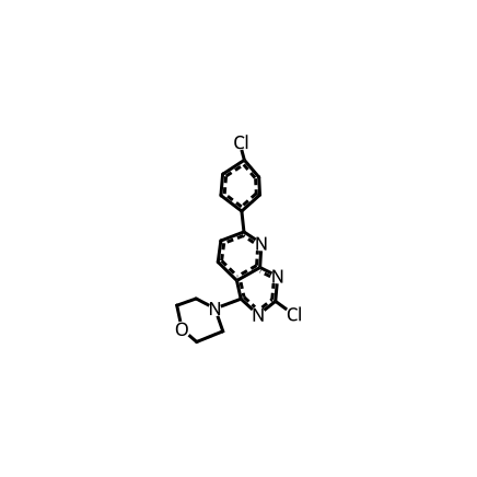 Clc1ccc(-c2ccc3c(N4CCOCC4)nc(Cl)nc3n2)cc1